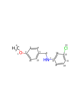 COc1ccc(CNc2[c]ccc(Cl)c2)cc1